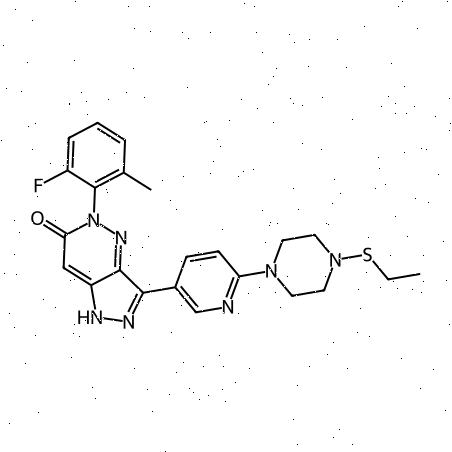 CCSN1CCN(c2ccc(-c3n[nH]c4cc(=O)n(-c5c(C)cccc5F)nc34)cn2)CC1